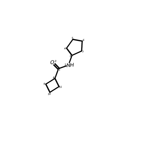 O=C(NC1CCCC1)C1CCC1